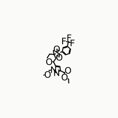 CCOC(=O)c1cc(C2CC(C)(S(=O)(=O)c3cccc(C(F)(F)F)c3)CCO2)n(COC)n1